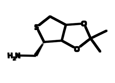 CC1(C)OC2CS[C@@H](CN)C2O1